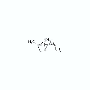 C=CC1CC2(C)CC1C2(C)C